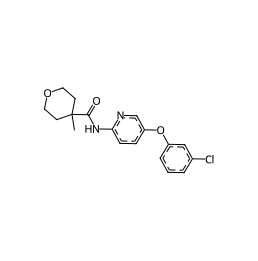 CC1(C(=O)Nc2ccc(Oc3cccc(Cl)c3)cn2)CCOCC1